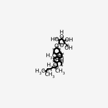 CC(C)CCC[C@@H](C)[C@H]1CC[C@H]2[C@@H]3CC=C4CC(O[C@H]5O[C@H](CO)[C@H](O)[C@H](O)[C@H]5O)CC[C@]4(C)[C@H]3CC[C@]12C